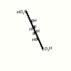 O=C(O)CCCCCCCCCCC(O)CCCCCC(=O)NCCNC(=O)CCCCCC(O)CCCCCCCCCCC(=O)O